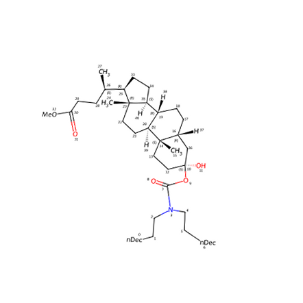 CCCCCCCCCCCCN(CCCCCCCCCCCC)C(=O)O[C@@]1(O)CC[C@@]2(C)[C@H](CC[C@@H]3[C@@H]2CC[C@]2(C)[C@@H]([C@H](C)CCC(=O)OC)CC[C@@H]32)C1